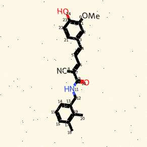 COc1cc(/C=C/C=C(\C#N)C(=O)NCc2cccc(C)c2C)ccc1O